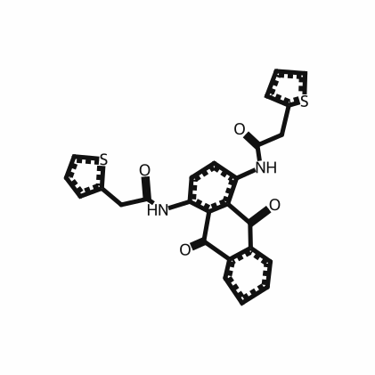 O=C(Cc1cccs1)Nc1ccc(NC(=O)Cc2cccs2)c2c1C(=O)c1ccccc1C2=O